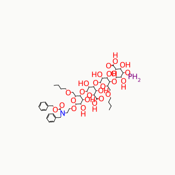 CCCCOCC1OC(OC2C(O)C(OC3C(COCCCC)OC(OCCN(Cc4ccccc4)C(=O)OCc4ccccc4)C(O)C3O)OC(C(=O)O)C2O)C(O)C(O)C1OC1OC(C(=O)O)C(O)C(OP)C1O